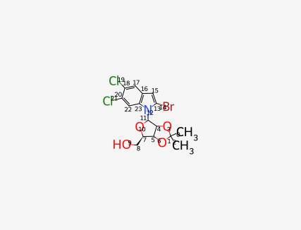 CC1(C)OC2C(O1)[C@@H](CO)O[C@H]2n1c(Br)cc2cc(Cl)c(Cl)cc21